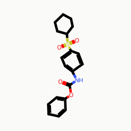 O=C(Nc1ccc(S(=O)(=O)C2CCCCC2)cc1)Oc1ccccc1